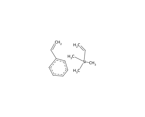 C=C[Si](C)(C)C.C=Cc1ccccc1